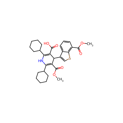 COC(=O)C1=C(C2CCCCC2)NC(C2CCCCC2)=C(C(=O)O)C1c1csc2c(C(=O)OC)cccc12